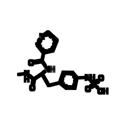 CNC(=O)C(Cc1ccc(NS(=O)(=O)O)cc1)NC(=O)c1cccnc1